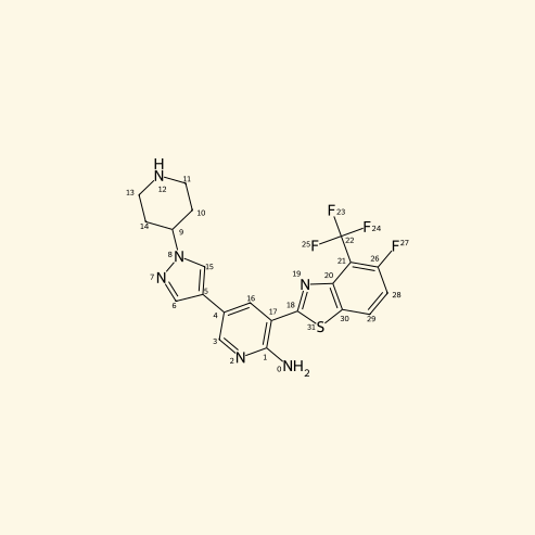 Nc1ncc(-c2cnn(C3CCNCC3)c2)cc1-c1nc2c(C(F)(F)F)c(F)ccc2s1